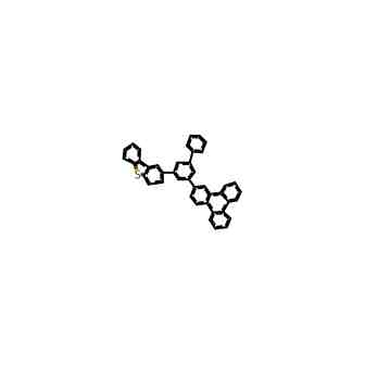 c1ccc(-c2cc(-c3ccc4sc5ccccc5c4c3)cc(-c3ccc4c5ccccc5c5ccccc5c4c3)c2)cc1